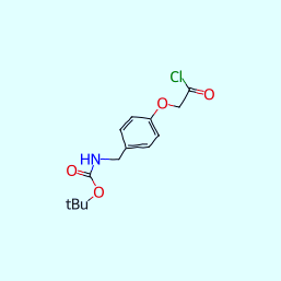 CC(C)(C)OC(=O)NCc1ccc(OCC(=O)Cl)cc1